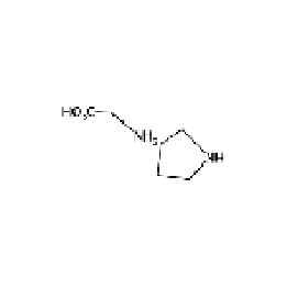 C1CCNC1.NCC(=O)O